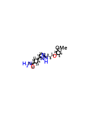 COc1cccc(OCCCNc2nccc(-c3ccc(C(N)=O)cc3)n2)c1